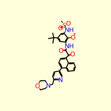 COc1c(NC(=O)C(=O)c2ccc(-c3ccc(CN4CCOCC4)nc3)c3ccccc23)cc(C(C)(C)C)cc1NS(C)(=O)=O